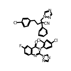 N#CC(CCc1ccc(Cl)cc1)(Cn1cncn1)c1ccccc1.O=c1c2cc(F)ccc2nc(-n2cncn2)n1-c1ccc(Cl)cc1Cl